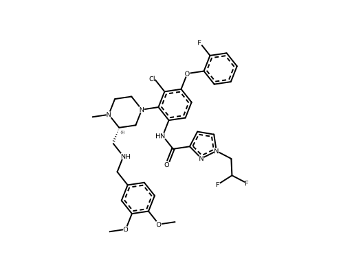 COc1ccc(CNC[C@H]2CN(c3c(NC(=O)c4ccn(CC(F)F)n4)ccc(Oc4ccccc4F)c3Cl)CCN2C)cc1OC